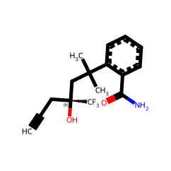 C#CC[C@@](O)(CC(C)(C)c1ccccc1C(N)=O)C(F)(F)F